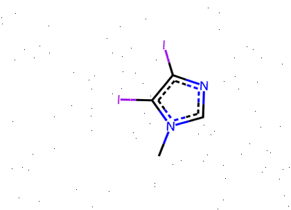 Cn1cnc(I)c1I